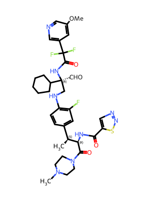 COc1cncc(C(F)(F)C(=O)N[C@@](C=O)(CNc2ccc([C@H](C)[C@@H](NC(=O)c3cnns3)C(=O)N3CCN(C)CC3)cc2F)C2CCCCC2)c1